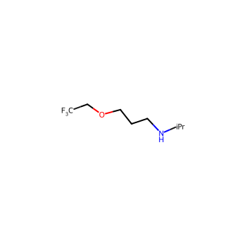 CC(C)NCCCOCC(F)(F)F